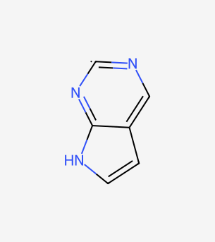 [c]1ncc2cc[nH]c2n1